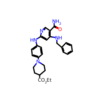 CCOC(=O)C1CCN(c2ccc(Nc3cc(NCc4ccccc4)c(C(N)=O)cn3)cc2)CC1